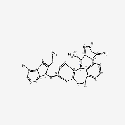 CCc1nc2c(Cl)cccc2n1Cc1ccc2c(c1)COc1ccccc1/C2=C(/C)c1noc(=O)[nH]1